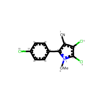 COn1c(Cl)c(Cl)c(C#N)c1-c1ccc(Cl)cc1